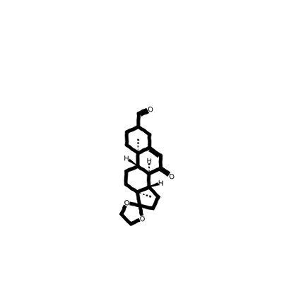 C[C@]12CCC(C=O)CC1=CC(=O)[C@@H]1[C@@H]2CC[C@@]2(C)[C@H]1CCC21OCCO1